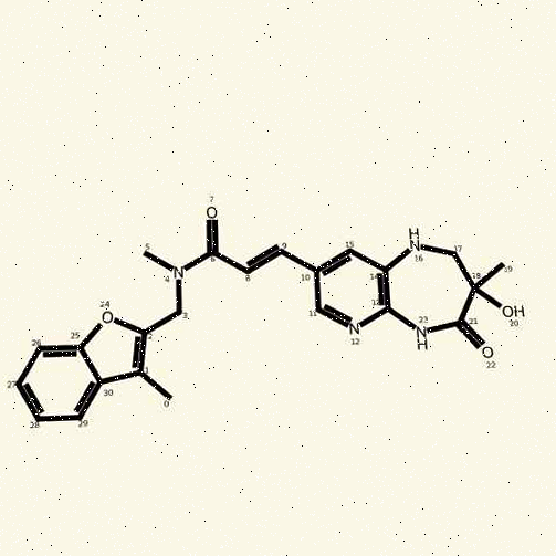 Cc1c(CN(C)C(=O)/C=C/c2cnc3c(c2)NCC(C)(O)C(=O)N3)oc2ccccc12